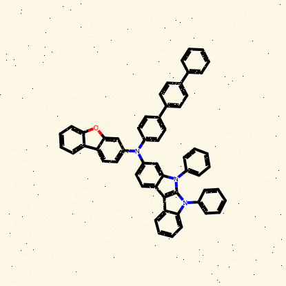 c1ccc(-c2ccc(-c3ccc(N(c4ccc5c(c4)oc4ccccc45)c4ccc5c6c7ccccc7n(-c7ccccc7)c6n(-c6ccccc6)c5c4)cc3)cc2)cc1